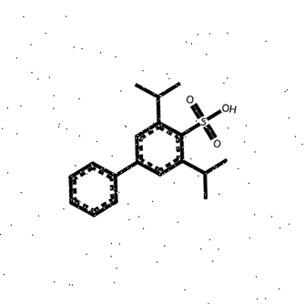 CC(C)c1cc(-c2ccccc2)cc(C(C)C)c1S(=O)(=O)O